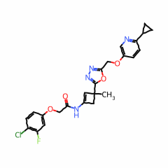 CC1(c2nnc(COc3ccc(C4CC4)nc3)o2)C=C(NC(=O)COc2ccc(Cl)c(F)c2)C1